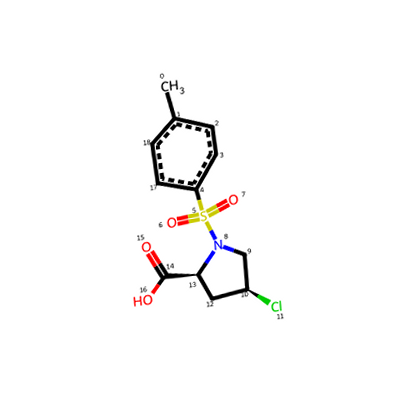 Cc1ccc(S(=O)(=O)N2C[C@@H](Cl)C[C@H]2C(=O)O)cc1